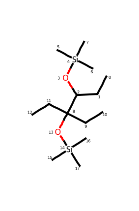 CCC(O[Si](C)(C)C)C(CC)(CC)O[Si](C)(C)C